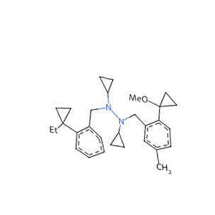 CCC1(c2ccccc2CN(C2CC2)N(Cc2cc(C)ccc2C2(OC)CC2)C2CC2)CC1